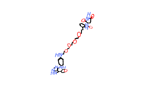 Cn1c(=O)n(C2CCC(=O)NC2=O)c2cccc(CCCOCCOCCOCCOCCNC3CCC(Nc4ncnc5[nH]cc(C6CCOCC6)c45)CC3)c21